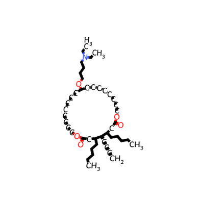 C=C=C=C=C1C(CCCCC)CC(=O)OCCCCCCCCC(OCCCCN(CC)CC)CCCCCCCCOC(=O)CC1CCCCC